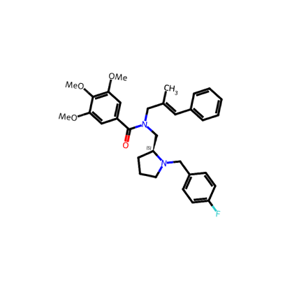 COc1cc(C(=O)N(CC(C)=Cc2ccccc2)C[C@@H]2CCCN2Cc2ccc(F)cc2)cc(OC)c1OC